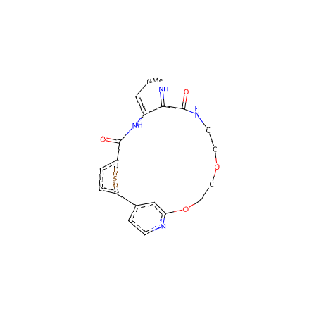 CN/C=C1/NC(=O)c2ccc(s2)-c2ccnc(c2)OCCOCCNC(=O)C1=N